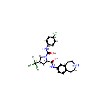 O=C(Nc1ccc2c(c1)CCNCC2)[C@H]1CC(C(F)(F)F)CN1C(=O)Nc1ccc(Cl)cc1